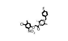 Cc1cc(OCC(=O)N2C[C@H](C)N(Cc3ccc(F)cc3)C[C@H]2C)c([N+](=O)[O-])cc1Cl